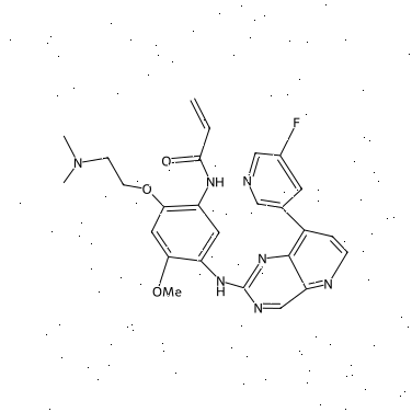 C=CC(=O)Nc1cc(Nc2ncc3nccc(-c4cncc(F)c4)c3n2)c(OC)cc1OCCN(C)C